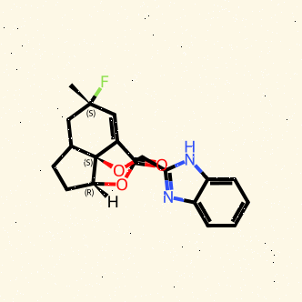 C[C@@]1(F)C=C2C(=O)O[C@@H]3CCC(C1)[C@]23OCc1nc2ccccc2[nH]1